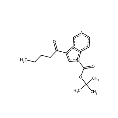 CCCCC(=O)c1cn(C(=O)OC(C)(C)C)c2ccncc12